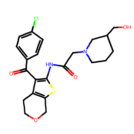 O=C(CN1CCCC(CO)C1)Nc1sc2c(c1C(=O)c1ccc(Cl)cc1)CCOC2